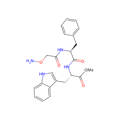 COC(=O)[C@H](Cc1c[nH]c2ccccc12)NC(=O)[C@H](Cc1ccccc1)NC(=O)CON